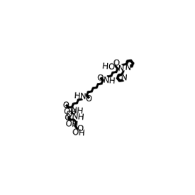 O=C(O)CCC(NC(=O)NC(CCCCNC(=O)CCCCCCC(=O)NCCCCC(C(=O)O)N(Cc1ccccn1)Cc1ccccn1)C(=O)O)C(=O)O